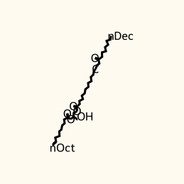 CCCCCCCCC=CCCCCCCCC(=O)OC(CO)COC(=O)CCCCCCCCCCCCCCCC(=O)CCCCCCCCCCCCCCCCC